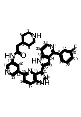 O=C(CC1CCNCC1)Nc1cncc(-c2ccc3[nH]nc(-c4cc5c(-c6cccc(F)c6)nccc5[nH]4)c3n2)c1